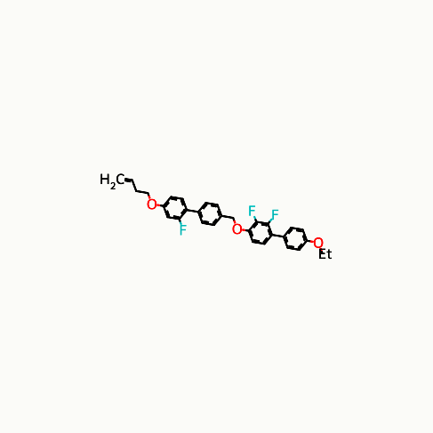 C=CCCOc1ccc(-c2ccc(COc3ccc(-c4ccc(OCC)cc4)c(F)c3F)cc2)c(F)c1